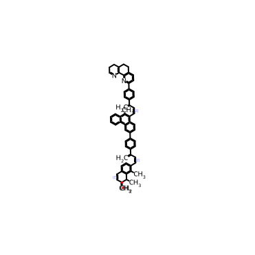 C=C/C=C\c1ccc(/C=C\C(=C)c2ccc(-c3ccc4c(/C=C\C(=C)c5ccc(-c6ccc7c(n6)C6=C(CCC=N6)CC7)cc5)c(C)c5ccccc5c4c3)cc2)c(C)c1C(C)CC